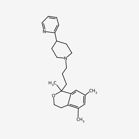 Cc1cc(C)c2c(c1)C(C)(CCCN1CCC(c3ccccn3)CC1)OCC2